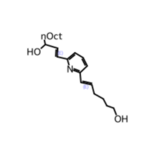 CCCCCCCCC(O)/C=C/c1cccc(/C=C/CCCCO)n1